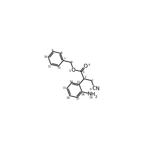 N#CCC(C(=O)OCc1ccccc1)c1ccccc1N